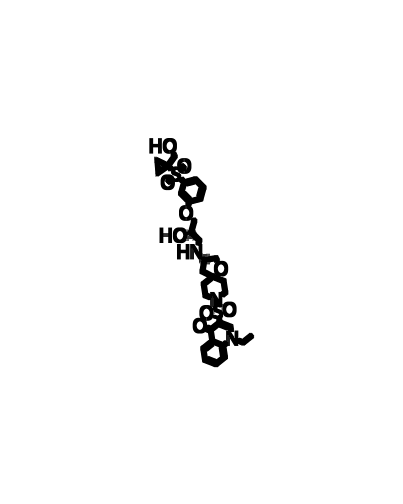 CCn1cc(S(=O)(=O)N2CCC3(CC2)C[C@H](NC[C@H](O)COc2cccc(S(=O)(=O)C4(CO)CC4)c2)CO3)c(=O)c2ccccc21